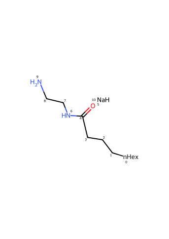 CCCCCCCCCC(=O)NCCN.[NaH]